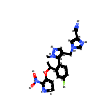 CC(Oc1cccnc1[N+](=O)[O-])c1cc(F)ccc1-c1c(Cn2cnc(C#N)c2)cnn1C